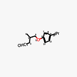 CC(CC=O)COc1ccc(C(C)C)cc1